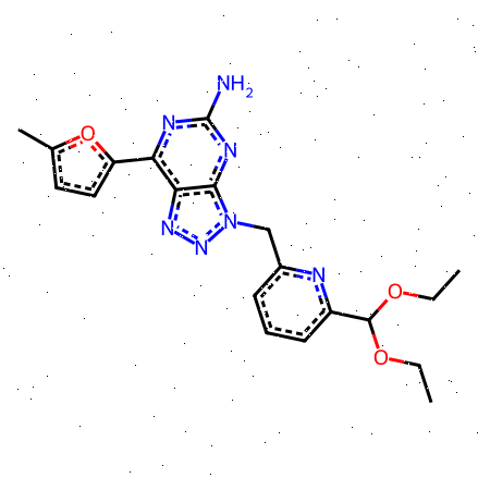 CCOC(OCC)c1cccc(Cn2nnc3c(-c4ccc(C)o4)nc(N)nc32)n1